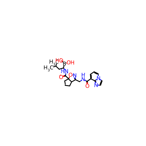 CC(C)CC(NC(=O)C12CCCC1C(CNC(=O)c1cccn3ccnc13)=NO2)B(O)O